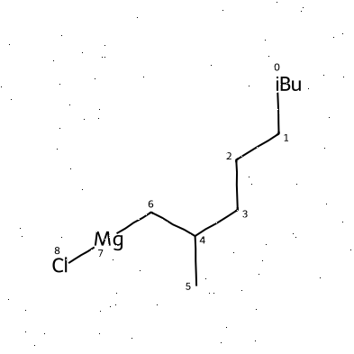 CCC(C)CCCC(C)[CH2][Mg][Cl]